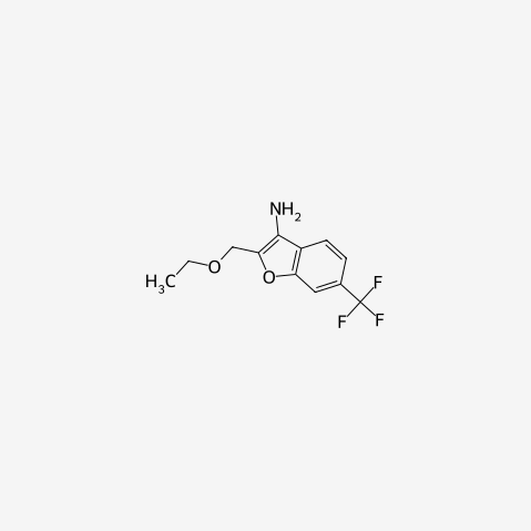 CCOCc1oc2cc(C(F)(F)F)ccc2c1N